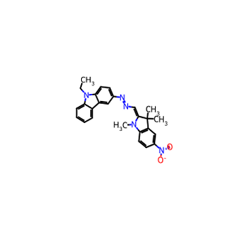 CCn1c2ccccc2c2cc(N=NC=C3N(C)c4ccc([N+](=O)[O-])cc4C3(C)C)ccc21